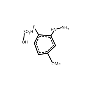 COc1ccc(F)c(NN)c1.O=S(=O)(O)O